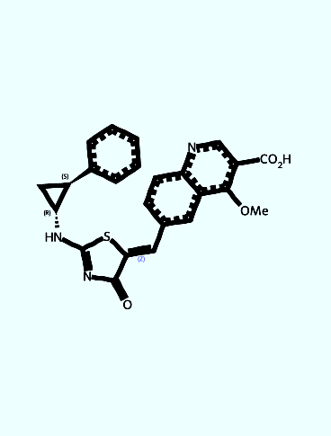 COc1c(C(=O)O)cnc2ccc(/C=C3\SC(N[C@@H]4C[C@H]4c4ccccc4)=NC3=O)cc12